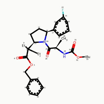 CCC(CC)(C(=O)OCc1ccccc1)[C@H]1CC[C@@H](c2cccc(F)c2)N1C(=O)[C@@H](C)NC(=O)OC(C)(C)C